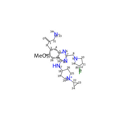 C=C(Cc1cc2nc(CN3CC[C@@H](F)C3)nc(NC3CC=[N+](C4CC4)CC3)c2cc1OC)CN(C)C